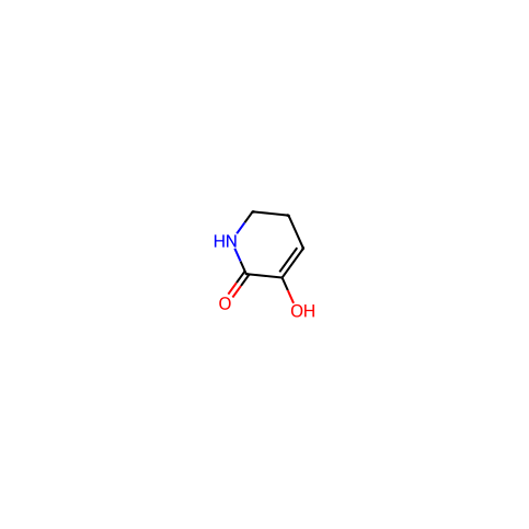 O=C1NCCC=C1O